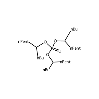 CCCCCC(CCCC)OP(=O)(OC(CCCC)CCCCC)OC(CCCC)CCCCC